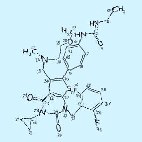 CCNC(=O)Nc1ccc(-c2sc3c(c2CN(C)CCOC)c(=O)n(C2CC2)c(=O)n3Cc2c(F)cccc2F)cc1